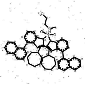 C[SiH](CCC(F)(F)F)[Zr]([Cl])([Cl])([CH]1C(CC2CCCCCC2)=Cc2c(-c3cccc4ccccc34)cccc21)[CH]1C(CC2CCCCCC2)=Cc2c(-c3cccc4ccccc34)cccc21